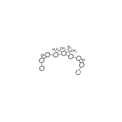 CC1(C)c2cc(-c3ccc4oc5ccc(-c6ccccc6)cc5c4c3)ccc2-c2cc3c(cc21)C(C)(C)c1cc(-c2ccc4oc5ccc(C6C=CC=CC6)cc5c4c2)ccc1-3